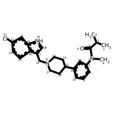 CC(C)C(=O)N(C)c1cccc(C2CCN(Cc3c[nH]c4cc(Cl)ccc34)CC2)c1